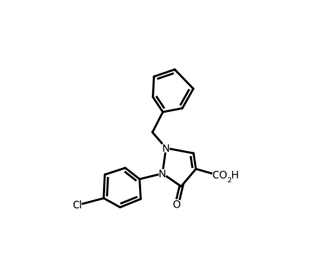 O=C(O)c1cn(Cc2ccccc2)n(-c2ccc(Cl)cc2)c1=O